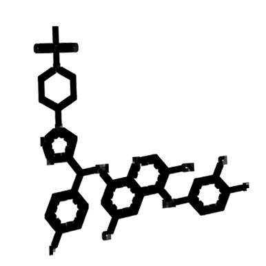 CS(=O)(=O)N1CCC(n2cc(C(Nc3cc(Cl)cc4c(Nc5ccc(F)c(Cl)c5)c(C#N)cnc34)c3ccc(F)cc3)nn2)CC1